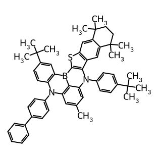 Cc1cc2c3c(c1)N(c1ccc(C(C)(C)C)cc1)c1c(sc4cc5c(cc14)C(C)(C)CCC5(C)C)B3c1cc(C(C)(C)C)ccc1N2c1ccc(-c2ccccc2)cc1